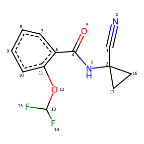 N#CC1(NC(=O)c2ccccc2OC(F)F)CC1